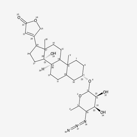 CC1OC(O[C@H]2CCC3(C)C(CC[C@@H]4C3CCC3(C)C(C5=CC(=O)OC5)CC[C@]43O)C2)[C@@H](O)[C@@H](O)C1N=[N+]=[N-]